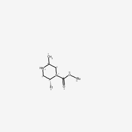 CC[C@@H]1CNC(C)CN1C(=O)OC(C)(C)C